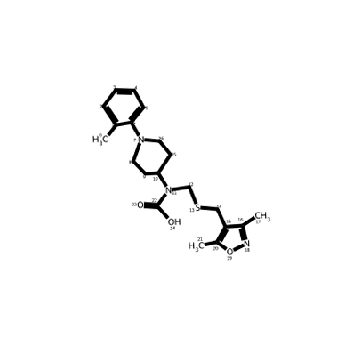 Cc1ccccc1N1CCC(N(CSCc2c(C)noc2C)C(=O)O)CC1